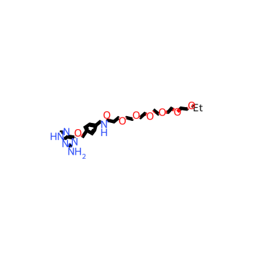 CCOCCOCCOCCOCCOCCOCCC(=O)NCc1ccc(COc2nc(N)nc3[nH]cnc23)cc1